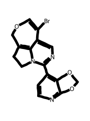 BrC1=COCC2=C3C1=CN=C(c1ccnc4c1OCO4)N3CC2